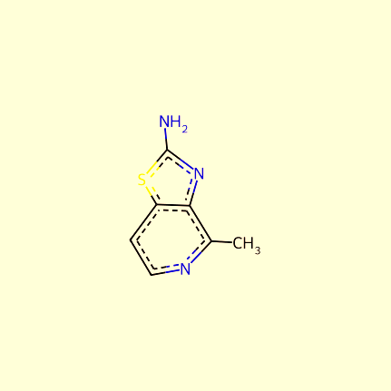 Cc1nccc2sc(N)nc12